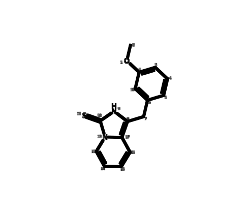 COc1cccc(Cc2[nH]c(=S)n3ccccc23)c1